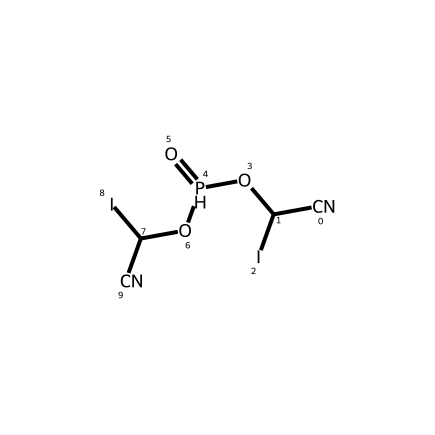 N#CC(I)O[PH](=O)OC(I)C#N